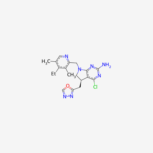 CCc1c(C)cnc(CN2C[C@H](Cc3nnco3)c3c(Cl)nc(N)nc32)c1C